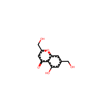 O=c1cc(CO)oc2cc(CO)cc(O)c12